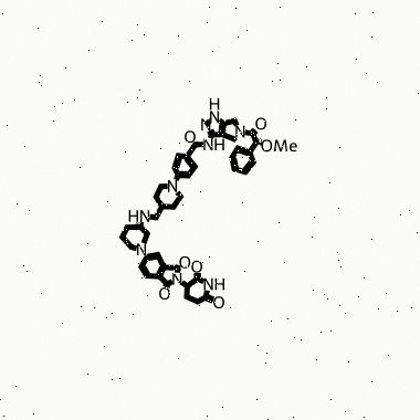 CO[C@@H](C(=O)N1Cc2[nH]nc(NC(=O)c3ccc(N4CCC(CN[C@@H]5CCCN(c6ccc7c(c6)C(=O)N(C6CCC(=O)NC6=O)C7=O)C5)CC4)cc3)c2C1)c1ccccc1